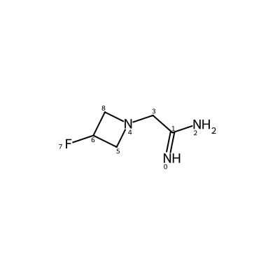 N=C(N)CN1CC(F)C1